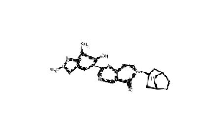 Cc1c(O)c(-c2ncc3c(=O)n(C4CC5CCC(C4)N5)ccc3n2)cc2cn(C)nc12